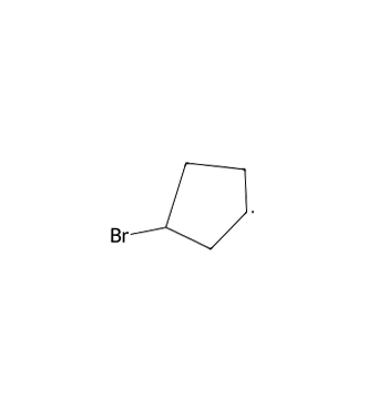 BrC1C[CH]CC1